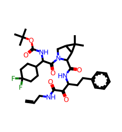 C=CCNC(=O)C(=O)C(CCc1ccccc1)NC(=O)C1C2C(CN1C(=O)C(NC(=O)OC(C)(C)C)C1CCC(F)(F)CC1)C2(C)C